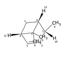 C[C@@H]1[C]=C[C@@H]2C[C@H]1C2(C)C